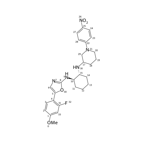 COc1ccc(-c2cnc(N[C@@H]3CCCC[C@H]3NC3CCCN(c4ccc([N+](=O)[O-])cc4)C3)o2)c(F)c1